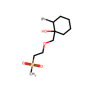 CC(C)C1CCCCC1(O)COCCS(C)(=O)=O